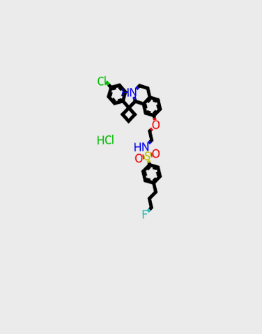 Cl.O=S(=O)(NCCOc1ccc2c(c1)C(C1(c3ccc(Cl)cc3)CCC1)NCC2)c1ccc(CCCF)cc1